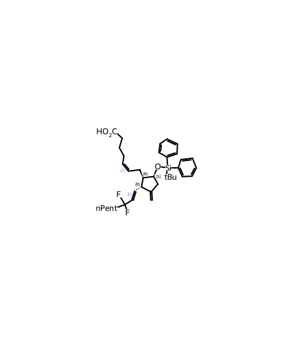 C=C1C[C@H](O[Si](c2ccccc2)(c2ccccc2)C(C)(C)C)[C@H](C/C=C\CCCC(=O)O)[C@H]1/C=C/C(F)(F)CCCCC